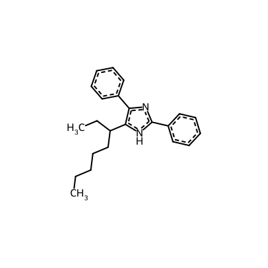 CCCCCC(CC)c1[nH]c(-c2ccccc2)nc1-c1ccccc1